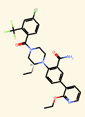 CCOc1ncccc1-c1ccc(N2CCN(C(=O)c3ccc(Cl)cc3C(F)(F)F)C[C@H]2CC)c(C(N)=O)c1